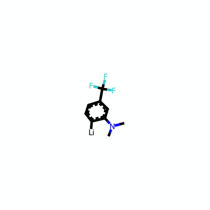 [Li][c]1ccc(C(F)(F)F)cc1N(C)C